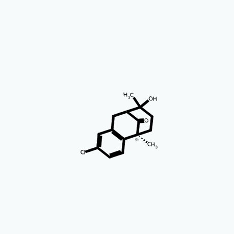 CC1(O)CC[C@]2(C)C(=O)C1Cc1cc(Cl)ccc12